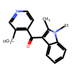 CCn1c(C)c(C(=O)c2ccncc2C(=O)O)c2ccccc21